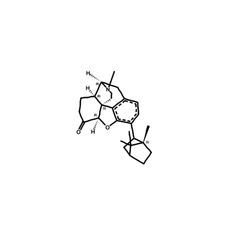 CN1CC[C@]23c4c5ccc(C6CC7CC[C@]6(C)C7(C)C)c4O[C@H]2C(=O)CC[C@H]3[C@H]1C5